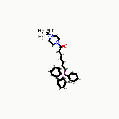 CCC(C)(C)N1CCN(C(=O)CCCCCC[PH](c2ccccc2)(c2ccccc2)c2ccccc2)CC1